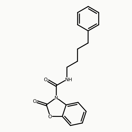 O=C(NCCCCc1ccccc1)n1c(=O)oc2ccccc21